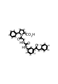 O=C(NCC(=O)N1C(c2ccccc2)CC[C@H]1C(=O)O)Nc1cccc(C(=O)Cc2ccccc2)c1